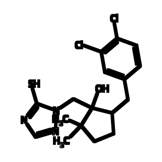 CC1(C)CCC(Cc2ccc(Cl)c(Cl)c2)C1(O)Cn1ncnc1S